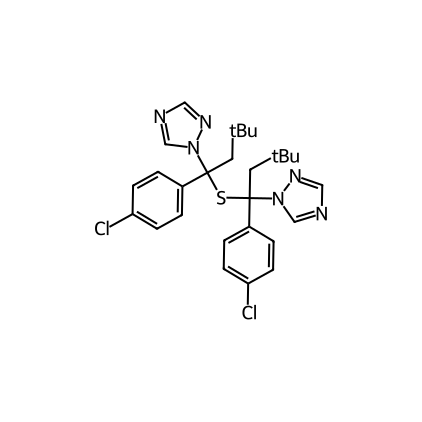 CC(C)(C)CC(SC(CC(C)(C)C)(c1ccc(Cl)cc1)n1cncn1)(c1ccc(Cl)cc1)n1cncn1